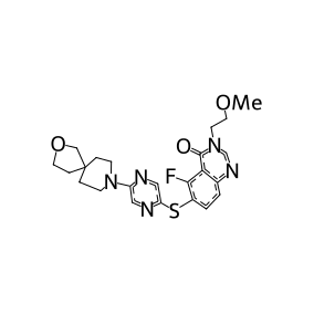 COCCn1cnc2ccc(Sc3cnc(N4CCC5(CCOC5)CC4)cn3)c(F)c2c1=O